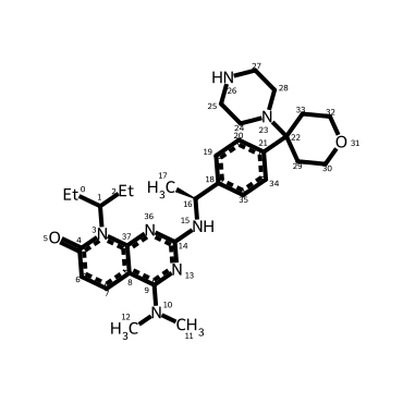 CCC(CC)n1c(=O)ccc2c(N(C)C)nc(N[C@@H](C)c3ccc(C4(N5CCNCC5)CCOCC4)cc3)nc21